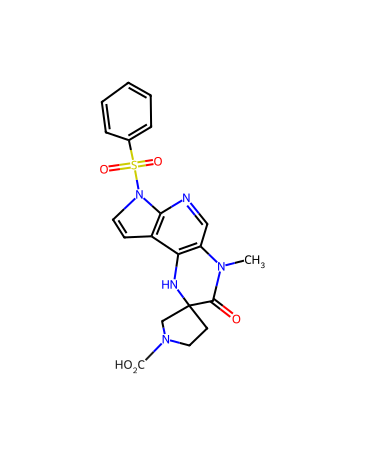 CN1C(=O)C2(CCN(C(=O)O)C2)Nc2c1cnc1c2ccn1S(=O)(=O)c1ccccc1